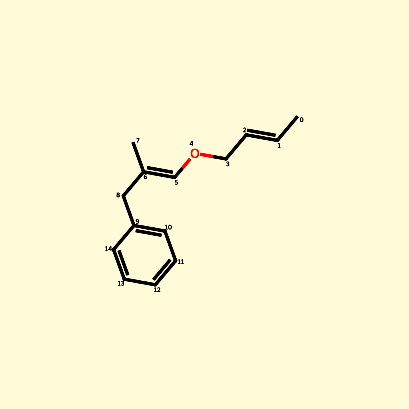 CC=CCOC=C(C)Cc1ccccc1